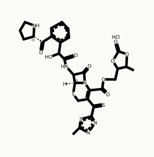 Cc1nnc(C(=S)C2=C(C(=O)OCC3OC(=O)OC3C)N3C(=O)C(NC(=O)C(O)c4ccccc4C(=O)[C@@H]4CCCN4)[C@@H]3SC2)s1.Cl